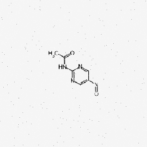 CC(=O)Nc1ncc(N=O)cn1